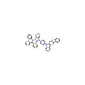 c1ccc2c(c1)sc1cc3c(cc12)c1ccccc1n3-c1ccc(-n2c3ccccc3c3c4c5ccccc5c5ccccc5c4c4ccccc4c32)cc1